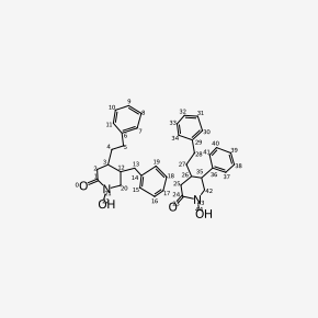 O=C1CC(CCc2ccccc2)C(Cc2ccccc2)CN1O.O=C1CC(CCc2ccccc2)C(c2ccccc2)CN1O